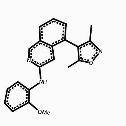 COc1c[c]ccc1Nc1cc2c(-c3c(C)noc3C)cccc2cn1